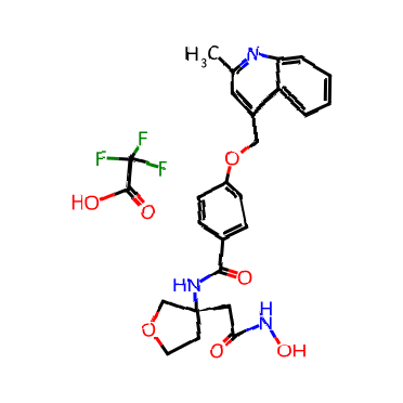 Cc1cc(COc2ccc(C(=O)N[C@]3(CC(=O)NO)CCOC3)cc2)c2ccccc2n1.O=C(O)C(F)(F)F